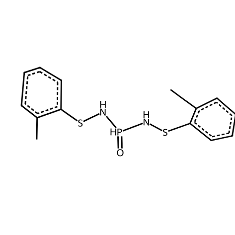 Cc1ccccc1SN[PH](=O)NSc1ccccc1C